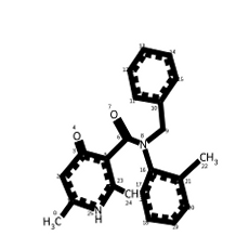 Cc1cc(=O)c(C(=O)N(Cc2ccccc2)c2ccccc2C)c(C)[nH]1